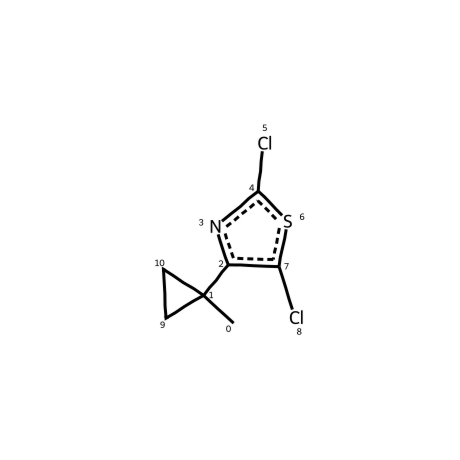 CC1(c2nc(Cl)sc2Cl)CC1